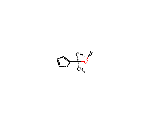 CC(C)([O][Zr])C1=CC=CC1